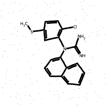 CSc1ccc(Cl)c(N(C(=N)N)c2cccc3ccccc23)c1